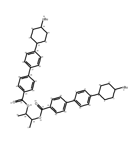 CCCCC1CCC(c2ccc(-c3ccc(C(=O)OC(C)C(C)OC(=O)c4ccc(-c5ccc(C6CCC(CCCC)CC6)cc5)cc4)cc3)cc2)CC1